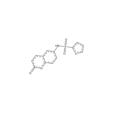 O=c1ccc2cc(NS(=O)(=O)c3cccs3)ccc2o1